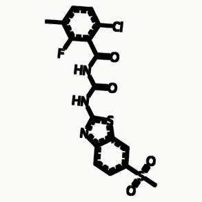 Cc1ccc(Cl)c(C(=O)NC(=O)Nc2nc3ccc(S(C)(=O)=O)cc3s2)c1F